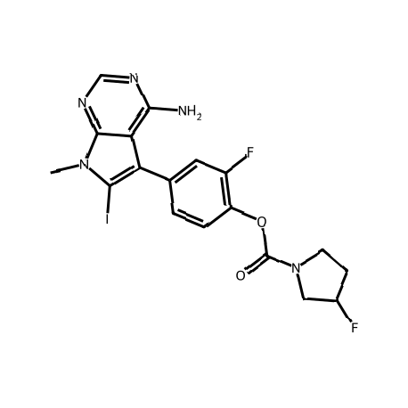 Cn1c(I)c(-c2ccc(OC(=O)N3CCC(F)C3)c(F)c2)c2c(N)ncnc21